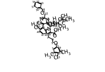 Cc1cc(OCCCc2c(C(=O)O)n(C(C)CNC(=O)OC(C)(C)C)c3c(-c4c(C)nc(COCc5ccccc5)nc4C)c(Cl)ccc23)cc(C)c1Cl